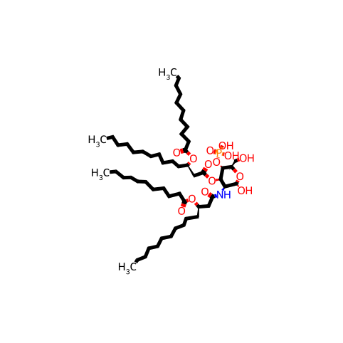 CCCCCCCCCCC[C@H](CC(=O)N[C@H]1[C@@H](OC(=O)C[C@@H](CCCCCCCCCCC)OC(=O)CCCCCCCCCC)[C@H](OP(=O)(O)O)[C@@H](CO)O[C@@H]1O)OC(=O)CCCCCCCCCC